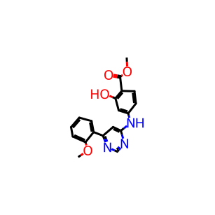 COC(=O)c1ccc(Nc2cc(-c3ccccc3OC)ncn2)cc1O